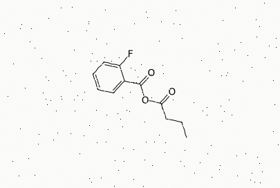 CCCC(=O)OC(=O)c1ccccc1F